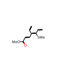 C=CC(/C=C/C(=O)OC)=C(\C=C)SC